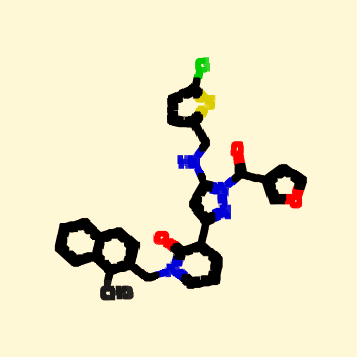 O=Cc1c(Cn2cccc(-c3cc(NCc4ccc(Cl)s4)n(C(=O)c4ccoc4)n3)c2=O)ccc2ccccc12